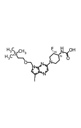 C[Si](C)(C)CCOCn1cc(I)c2ncc(N3CC[C@H](NC(=O)O)[C@@H](F)C3)nc21